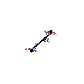 COc1cccc(OC)c1CNCCCCCCNCCCCCCCCN(CCCCCCNCc1c(OC)cccc1OC)C(C)C